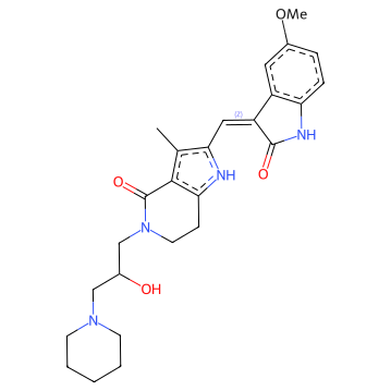 COc1ccc2c(c1)/C(=C/c1[nH]c3c(c1C)C(=O)N(CC(O)CN1CCCCC1)CC3)C(=O)N2